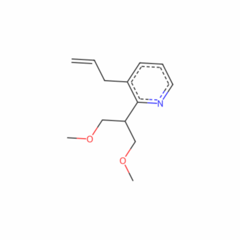 C=CCc1cccnc1C(COC)COC